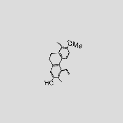 C=Cc1c(C)c(O)cc2c1-c1ccc(OC)c(C)c1CC2